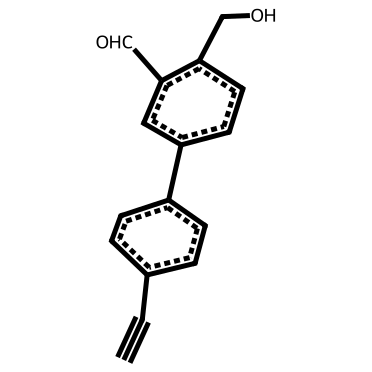 C#Cc1ccc(-c2ccc(CO)c(C=O)c2)cc1